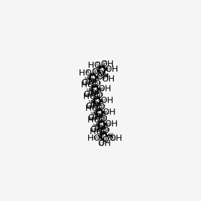 OC[C@H]1O[C@@H](O[C@H]2[C@@H](O)[C@@H](CO)O[C@@H](O[C@H]3[C@@H](O)[C@@H](CO)O[C@@H](O[C@H]4[C@@H](O)[C@@H](CO)O[C@@H](O[C@H]5[C@@H](O)[C@@H](CO)O[C@@H](O[C@H]6[C@@H](O)[C@@H](CO)O[C@@H](O[C@H]7[C@H](O)[C@@H](O)C(O)O[C@@H]7CO)[C@@H]6O)[C@@H]5O)[C@@H]4O)[C@@H]3O)[C@@H]2O)[C@H](O)[C@@H](O)[C@H]1O